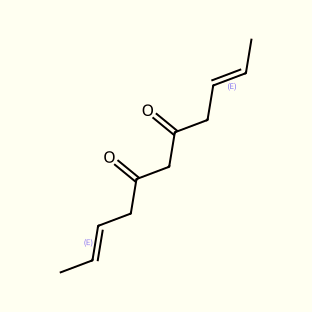 C/C=C/CC(=O)CC(=O)C/C=C/C